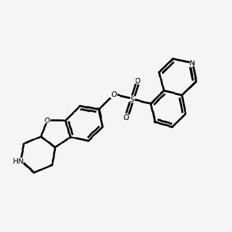 O=S(=O)(Oc1ccc2c(c1)OC1CNCCC21)c1cccc2cnccc12